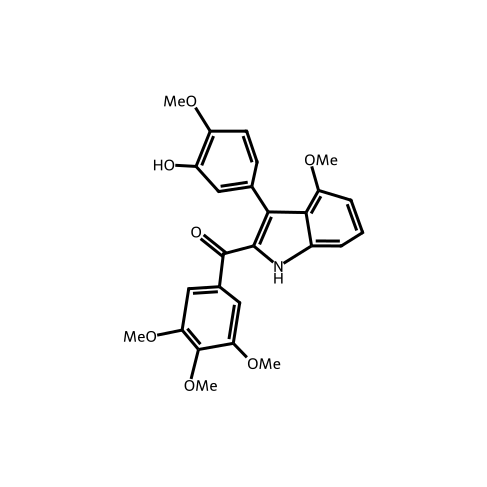 COc1ccc(-c2c(C(=O)c3cc(OC)c(OC)c(OC)c3)[nH]c3cccc(OC)c23)cc1O